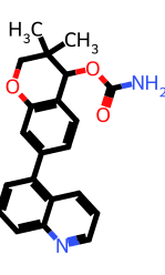 CC1(C)COc2cc(-c3cccc4ncccc34)ccc2C1OC(N)=O